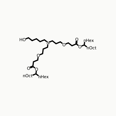 CCCCCCCCC(CCCCCC)OC(=O)CCOCCCN(CCCCCO)CCCOCCC(=O)OC(CCCCCC)CCCCCCCC